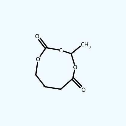 CC1CC(=O)OC[CH]CC(=O)O1